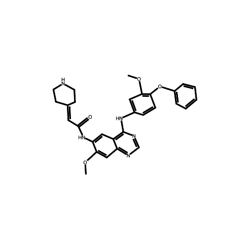 COc1cc2ncnc(Nc3ccc(Oc4ccccc4)c(OC)c3)c2cc1NC(=O)C=C1CCNCC1